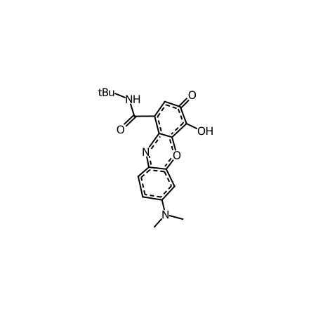 CN(C)c1ccc2nc3c(C(=O)NC(C)(C)C)cc(=O)c(O)c-3oc2c1